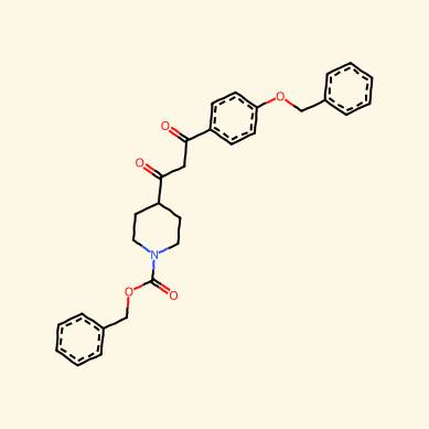 O=C(CC(=O)C1CCN(C(=O)OCc2ccccc2)CC1)c1ccc(OCc2ccccc2)cc1